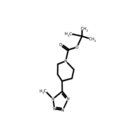 Cn1nnnc1C1CCN(C(=O)OC(C)(C)C)CC1